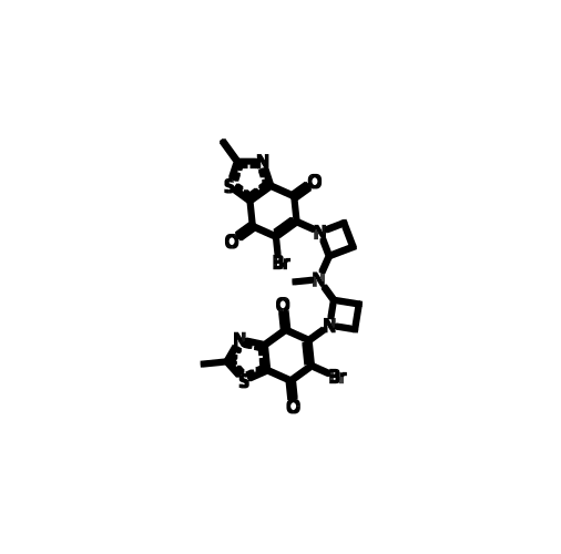 Cc1nc2c(s1)C(=O)C(Br)=C(N1CCC1N(C)C1CCN1C1=C(Br)C(=O)c3sc(C)nc3C1=O)C2=O